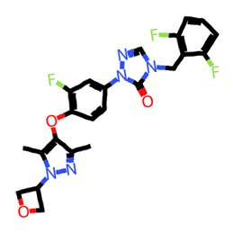 Cc1nn(C2COC2)c(C)c1Oc1ccc(-n2ncn(Cc3c(F)cccc3F)c2=O)cc1F